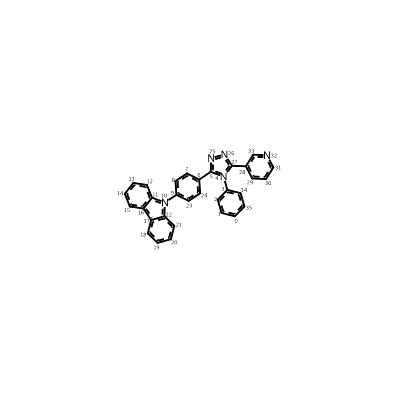 c1ccc(-n2c(-c3ccc(-n4c5ccccc5c5ccccc54)cc3)nnc2-c2cccnc2)cc1